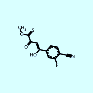 COC(=S)C(=O)/C=C(\O)c1ccc(C#N)c(F)c1